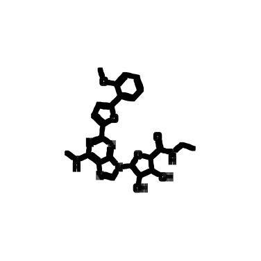 CCNC(=O)C1OC(n2cnc3c(NC)nc(-c4ccc(-c5ccccc5OC)o4)nc32)C(O)C1O